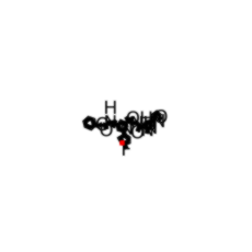 Cn1nc(-c2ccon2)cc1C(=O)NCC(C)(O)c1cc(C(C)(C)NC(=O)OCc2ccccc2)cc(-c2ccc(F)cc2)n1